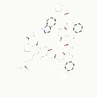 CCNC(=O)[C@@H]1CCCN1C(=O)[C@H](CCCNC(=N)N)NC(=O)[C@H](CC(C)C)NC(=O)[C@@H](C)NC(=O)[C@H](Cc1ccc(O)cc1)NC(=O)[C@H](CO)NC(=O)[C@H](Cc1c[nH]c2ccccc12)NC(=O)[C@@H](Cc1ccccc1)NC(=O)[C@@H]1CCCN1C(C)=O